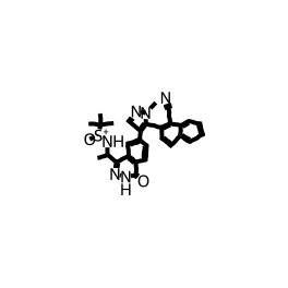 CC(N[S+]([O-])C(C)(C)C)c1n[nH]c(=O)c2ccc(-c3cnn(C)c3-c3ccc4ccccc4c3C#N)cc12